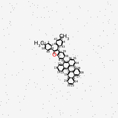 Cc1ccc(-c2oc3cc(-c4c5ccccc5c(-c5cc6ccccc6c6ccccc56)c5ccccc45)ccc3c2-c2ccc(C)cc2)cc1